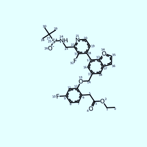 CCOC(=O)Cc1ccc(F)cc1OCc1cc(-c2ccnc(CN[S+]([O-])C(C)(C)C)c2F)c2occc2c1